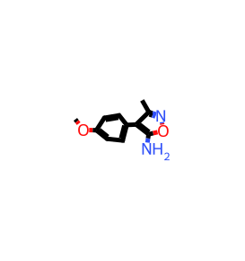 COc1ccc(-c2c(C)noc2N)cc1